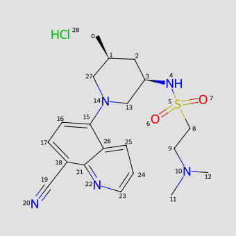 C[C@H]1C[C@@H](NS(=O)(=O)CCN(C)C)CN(c2ccc(C#N)c3ncccc23)C1.Cl